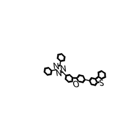 c1ccc(-c2nc(-c3ccccc3)nc(-c3ccc4oc5cc(-c6ccc7sc8ccccc8c7c6)ccc5c4c3)n2)cc1